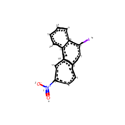 O=[N+]([O-])c1ccc2cc(I)c3ccccc3c2c1